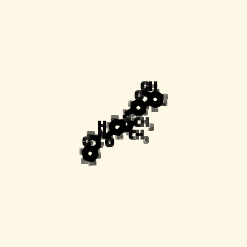 Cc1c(C)n(Cc2ccc(-c3ccccc3C(=O)O)cc2)c2ccc(C(=O)N[C@@H]3COc4ccccc4C3)cc12